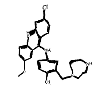 COc1ccc2nc3cc(Cl)ccc3c(Nc3ccc(O)c(CN4CCNCC4)c3)c2c1